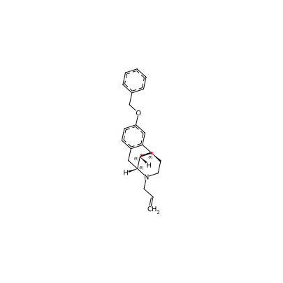 C=CCN1CC[C@]23CCCC[C@H]2[C@H]1Cc1ccc(OCc2ccccc2)cc13